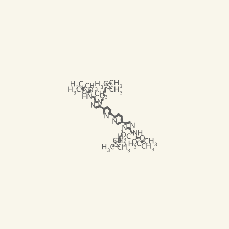 C[C@H](NC(=O)OC(C)(C)C)c1ncc(-c2ccc(-c3ccc(-c4cnc([C@H](C)NC(=O)OC(C)(C)C)n4COCCS(C)(C)C)cn3)nc2)n1COCCS(C)(C)C